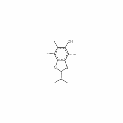 Cc1c(C)c2c(c(C)c1O)SC(C(C)C)O2